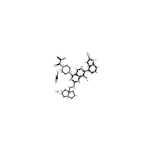 C=C(F)C(=O)N1CCN(c2nc(OCC34CCCN3C[C@H](F)C4)nc3c(F)c(-c4cccc5sc(Cl)cc45)ncc23)C[C@@H]1CC#N